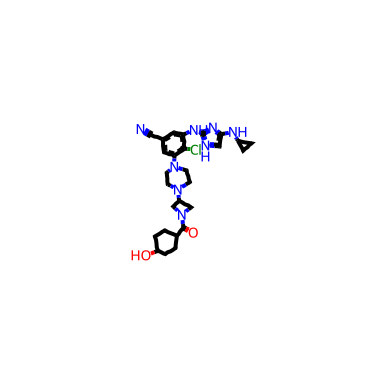 N#Cc1cc(Nc2nc(NC3CC3)c[nH]2)c(Cl)c(N2CCN(C3CN(C(=O)C4CCC(O)CC4)C3)CC2)c1